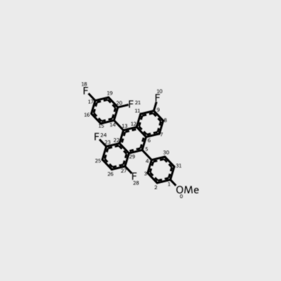 COc1ccc(-c2c3ccc(F)cc3c(-c3ccc(F)cc3F)c3c(F)ccc(F)c23)cc1